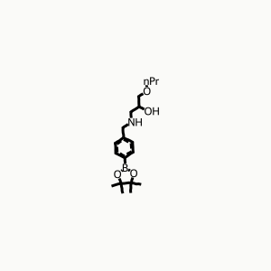 CCCOCC(O)CNCc1ccc(B2OC(C)(C)C(C)(C)O2)cc1